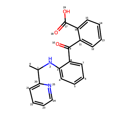 CC(Nc1ccccc1C(=O)c1ccccc1C(=O)O)c1ccccn1